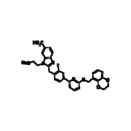 COCCn1c(Cc2ccc(-c3cccc(OCc4cccc5c4OCCO5)n3)cc2F)nc2ccc(C(=O)O)cc21